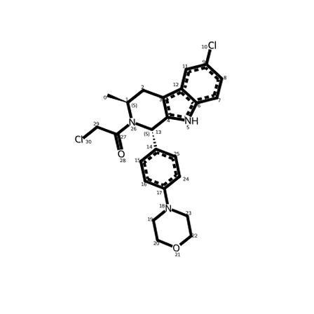 C[C@H]1Cc2c([nH]c3ccc(Cl)cc23)[C@H](c2ccc(N3CCOCC3)cc2)N1C(=O)CCl